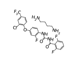 NCCCCN.O=C(NC(=O)c1c(F)cccc1F)Nc1ccc(Oc2ccc(C(F)(F)F)cc2Cl)cc1F